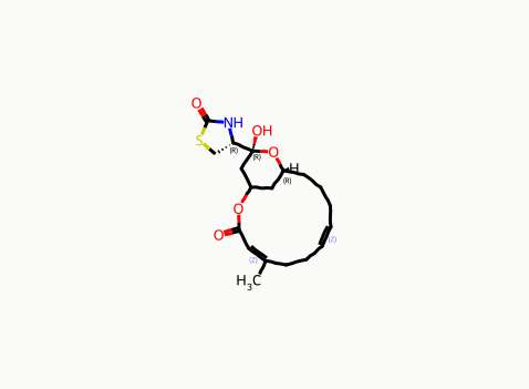 C/C1=C/C(=O)OC2C[C@@H](CCC/C=C\CC1)O[C@@](O)([C@@H]1CSC(=O)N1)C2